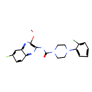 COc1nc2cc(F)ccc2nc1NC(=O)N1CCN(c2ccccc2Cl)CC1